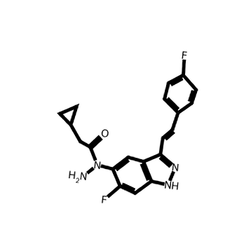 NN(C(=O)CC1CC1)c1cc2c(/C=C/c3ccc(F)cc3)n[nH]c2cc1F